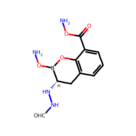 NOB1Oc2c(cccc2C(=O)ON)C[C@@H]1NNC=O